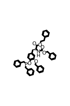 O=C(N[C@@H](Cc1ccc(OP(Cc2ccccc2)Cc2ccccc2)c(OCc2ccccc2)c1)C(=O)OCCc1ccccc1)OCc1ccccc1